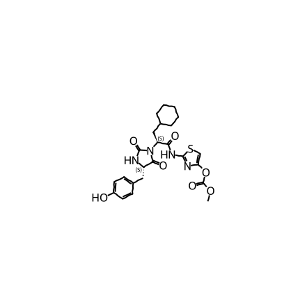 COC(=O)Oc1csc(NC(=O)[C@H](CC2CCCCC2)N2C(=O)N[C@@H](Cc3ccc(O)cc3)C2=O)n1